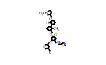 Cc1c(COc2cc(OCc3cncc(C#N)c3)c(CNCc3cncs3)cc2Cl)cccc1-c1cccc(OCC2CCCN(C)C2)c1Cl